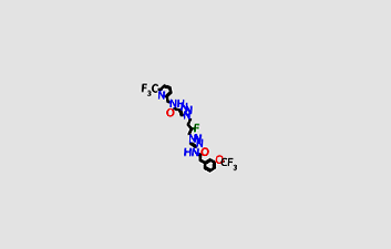 O=C(Cc1cccc(OC(F)(F)F)c1)Nc1cn(CC(F)CCn2cc(C(=O)NCc3cccc(C(F)(F)F)n3)nn2)nn1